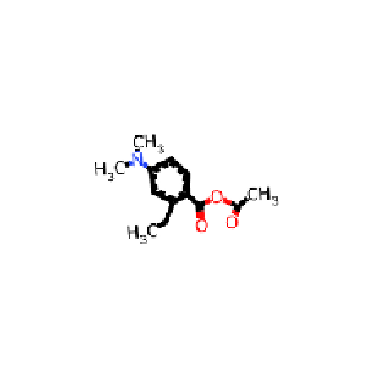 CCc1cc(N(C)C)ccc1C(=O)OC(C)=O